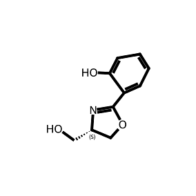 OC[C@H]1COC(c2ccccc2O)=N1